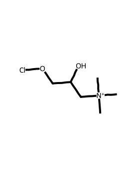 C[N+](C)(C)CC(O)COCl